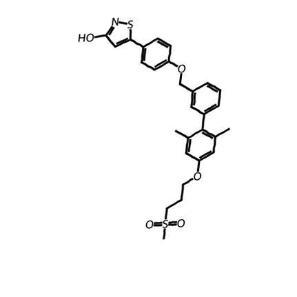 Cc1cc(OCCCS(C)(=O)=O)cc(C)c1-c1cccc(COc2ccc(-c3cc(O)ns3)cc2)c1